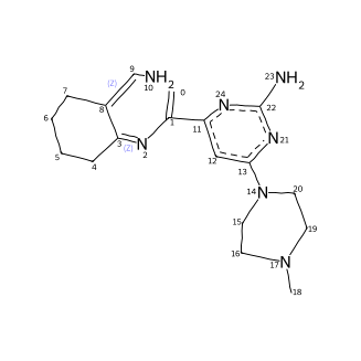 C=C(/N=C1/CCCC/C1=C/N)c1cc(N2CCN(C)CC2)nc(N)n1